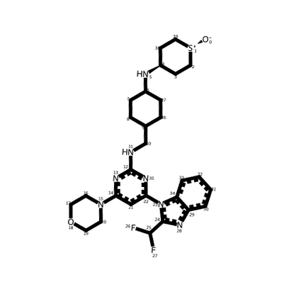 [O-][S@+]1CC[C@@H](NC2CCC(CNc3nc(N4CCOCC4)cc(-n4c(C(F)F)nc5ccccc54)n3)CC2)CC1